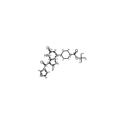 Cc1nn2c(C3CCN(C(=O)OC(C)(C)C)CC3)cc(=O)[nH]c2c1C(=O)n1ccnc1